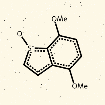 COc1ccc(OC)c2c1cc[s+]2[O-]